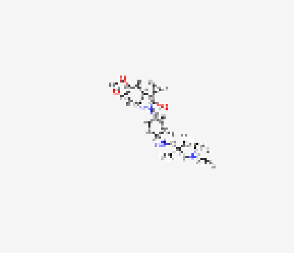 CN(C)CC(C)(C)C1Cc2cc(NC(=O)C3(c4ccc5c(c4)OCO5)CC3)ccc2N1